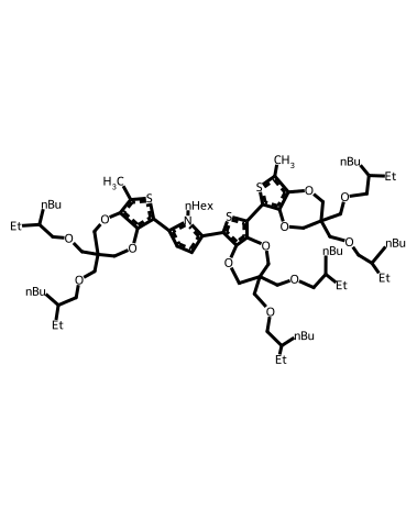 CCCCCCn1c(-c2sc(C)c3c2OCC(COCC(CC)CCCC)(COCC(CC)CCCC)CO3)ccc1-c1sc(-c2sc(C)c3c2OCC(COCC(CC)CCCC)(COCC(CC)CCCC)CO3)c2c1OCC(COCC(CC)CCCC)(COCC(CC)CCCC)CO2